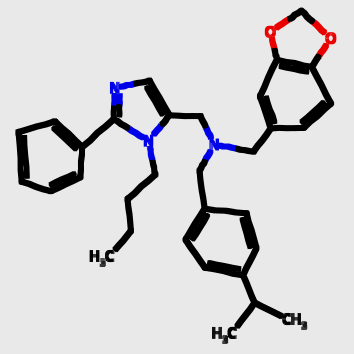 CCCCn1c(CN(Cc2ccc(C(C)C)cc2)Cc2ccc3c(c2)OCO3)cnc1-c1ccccc1